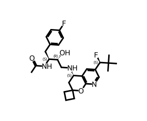 CC(=O)N[C@@H](Cc1ccc(F)cc1)[C@H](O)CN[C@H]1CC2(CCC2)Oc2ncc([C@@H](F)C(C)(C)C)cc21